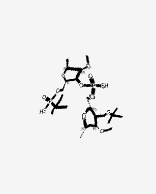 CO[C@H]1C(OC(C)(C)C)[C@@H](COP(=O)(S)OC2[C@@H](COP(=O)(S)C(C)(C)C)O[C@@H](C)[C@H]2OC)O[C@H]1C